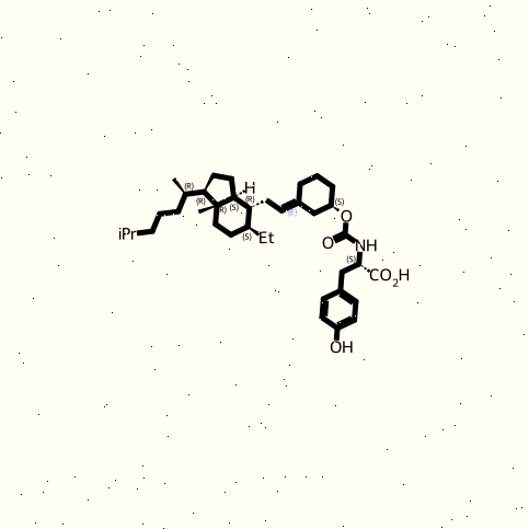 CC[C@H]1CC[C@]2(C)[C@@H]([C@H](C)CCCC(C)C)CC[C@H]2[C@@H]1C/C=C1\CCC[C@H](OC(=O)N[C@@H](Cc2ccc(O)cc2)C(=O)O)C1